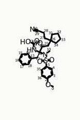 COc1ccc(S(=O)(=O)N(C)[C@](Cc2ccccc2)(NC(=O)O)[C@H](O)CC2(CCC#N)CCCC2)cc1